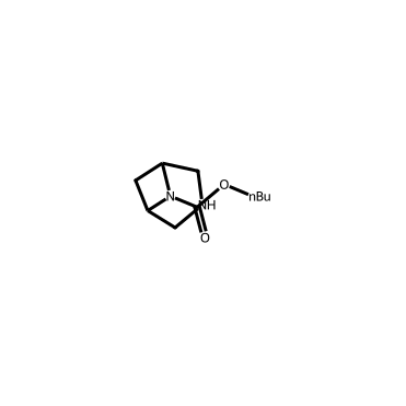 CCCCOC(=O)N1C2CNCC1C2